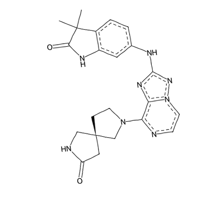 CC1(C)C(=O)Nc2cc(Nc3nc4c(N5CC[C@@]6(CNC(=O)C6)C5)nccn4n3)ccc21